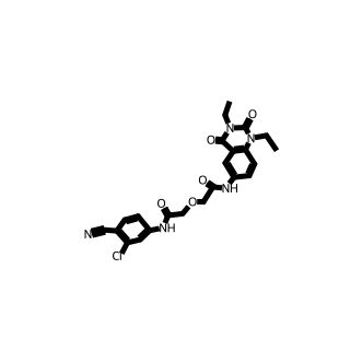 CCn1c(=O)c2cc(NC(=O)COCC(=O)Nc3ccc(C#N)c(Cl)c3)ccc2n(CC)c1=O